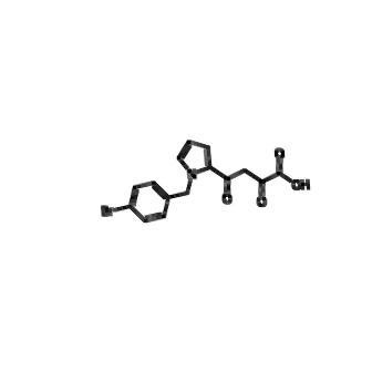 O=C(O)C(=O)CC(=O)c1cccn1Cc1ccc(Br)cc1